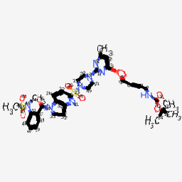 Cc1cc(OCC#CCNC(=O)OC(C)(C)C)nc(N2CCN(S(=O)(=O)c3ccc4c(n3)CCN4C(=O)c3ccccc3N(C)S(C)(=O)=O)CC2)n1